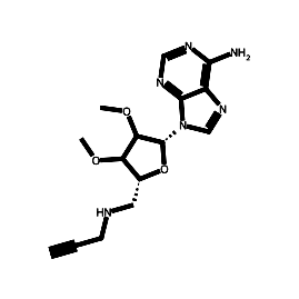 C#CCNC[C@H]1O[C@@H](n2cnc3c(N)ncnc32)C(OC)C1OC